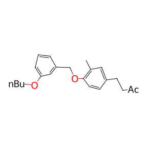 CCCCOc1cccc(COc2ccc(CCC(C)=O)cc2C)c1